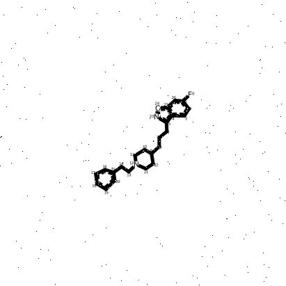 Fc1ccc2c(CCCC3CCN(CCc4ccccc4)CC3)noc2c1